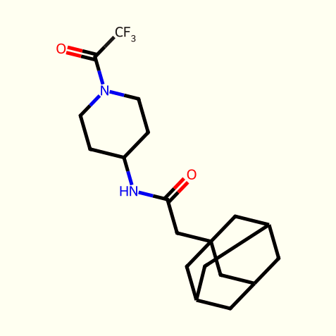 O=C(CC12CC3CC(CC(C3)C1)C2)NC1CCN(C(=O)C(F)(F)F)CC1